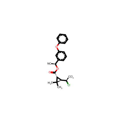 CC1(C)[C@H]([C@H](Cl)C(Cl)(Cl)Cl)[C@H]1C(=O)O[C@@H](C#N)c1cccc(Oc2ccccc2)c1